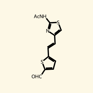 CC(=O)Nc1nc(C=Cc2ccc(C=O)s2)cs1